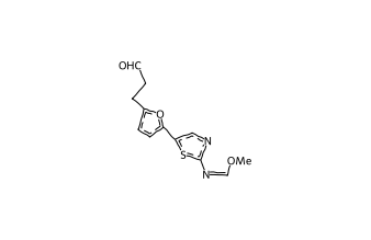 CO/C=N\c1ncc(-c2ccc(CCC=O)o2)s1